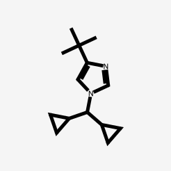 CC(C)(C)c1cn(C(C2CC2)C2CC2)cn1